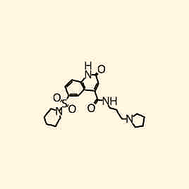 O=C(NCCCN1CCCC1)c1cc(=O)[nH]c2ccc(S(=O)(=O)N3CCCCC3)cc12